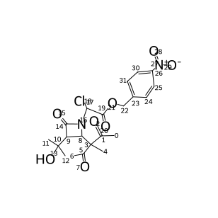 CC(=O)C(C)(C(C)=O)C1C(C(C)(C)O)C(=O)N1C(Cl)C(=O)OCc1ccc([N+](=O)[O-])cc1